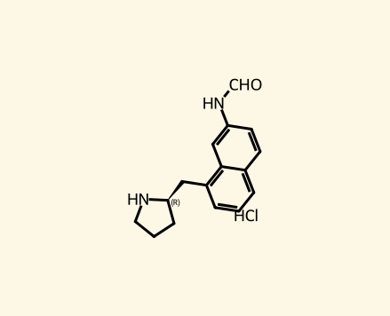 Cl.O=CNc1ccc2cccc(C[C@H]3CCCN3)c2c1